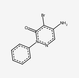 Nc1cnn(-c2ccccc2)c(=O)c1Br